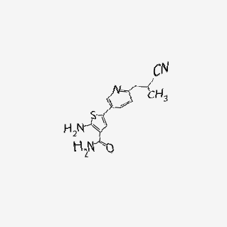 CC(C#N)Cc1ccc(-c2cc(C(N)=O)c(N)s2)cn1